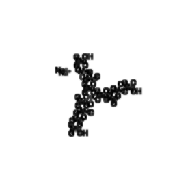 O=P([O][Mo](=[O])(=[O])[O][Mo](=[O])(=[O])[O][Mo](=[O])(=[O])[O][Mo](=[O])(=[O])[OH])([O][Mo](=[O])(=[O])[O][Mo](=[O])(=[O])[O][Mo](=[O])(=[O])[O][Mo](=[O])(=[O])[OH])[O][Mo](=[O])(=[O])[O][Mo](=[O])(=[O])[O][Mo](=[O])(=[O])[O][Mo](=[O])(=[O])[OH].[Na+].[Na+]